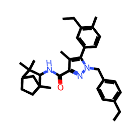 CCc1ccc(Cn2nc(C(=O)NC3C4(C)CCC(C4)C3(C)C)c(C)c2-c2ccc(C)c(CC)c2)cc1